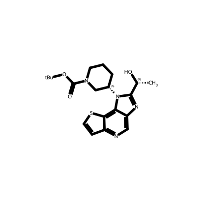 C[C@@H](O)c1nc2cnc3ccsc3c2n1[C@H]1CCCN(C(=O)OC(C)(C)C)C1